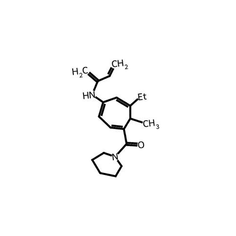 C=CC(=C)NC1=CC=C(C(=O)N2CCCCC2)C(C)C(CC)=C1